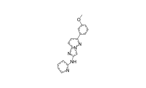 COc1cccc(-c2ccc3nc(Nc4ccccn4)cn3n2)c1